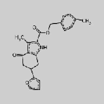 Cc1ccc(COC(=O)c2[nH]c3c(c2C)C(=O)CC(c2ccco2)C3)cc1